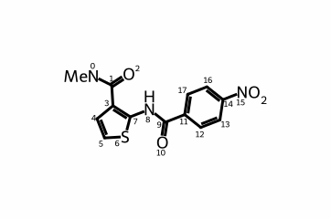 CNC(=O)c1ccsc1NC(=O)c1ccc([N+](=O)[O-])cc1